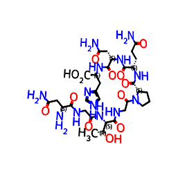 C[C@@H](O)[C@H](NC(=O)CNC(=O)[C@@H](N)CC(N)=O)C(=O)NCC(=O)N1CCC[C@H]1C(=O)N[C@@H](CCC(N)=O)C(=O)N[C@@H](CC(N)=O)C(=O)N[C@@H](Cc1c[nH]cn1)C(=O)O